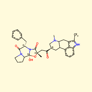 CN1C[C@H](C(=O)C[C@]2(C)O[C@@]3(O)C4CCCN4C(=O)[C@H](Cc4ccccc4)N3C2=O)CC2c3cccc4[nH]c(C(F)(F)F)c(c34)CC21